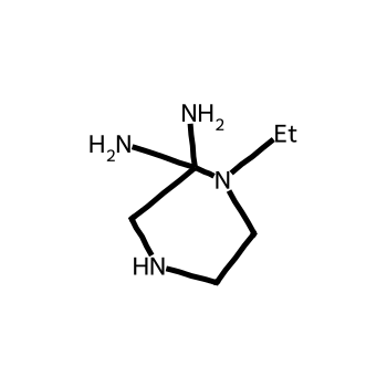 CCN1CCNCC1(N)N